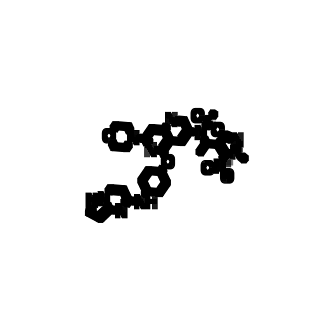 CC(c1cnn(C)c1[N+](=O)[O-])N(c1cnc2cc(N3CCOCC3)nc(OC3CCC(Nc4ccn5nccc5n4)CC3)c2c1)S(C)(=O)=O